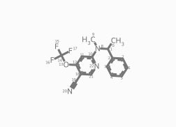 CC(c1ccccc1)N(C)c1cc(OC(F)(F)F)c(C#N)cn1